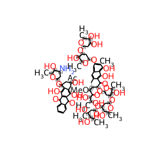 CC(=O)[C@]1(O)Cc2c(O)c3c(c(O)c2[C@@H](O[C@H]2C[C@H](N)[C@H](O)[C@H](C)O2)C1)C(=O)c1ccccc1C3=O.CO[C@H](C(=O)[C@@H](O)[C@@H](C)O)[C@@H]1Cc2cc3cc(O[C@H]4C[C@@H](O[C@H]5C[C@@H](O)[C@H](O)[C@@H](C)O5)[C@H](O)[C@@H](C)O4)c(C)c(O)c3c(O)c2C(=O)[C@H]1O[C@H]1C[C@@H](O[C@H]2C[C@@H](O[C@H]3C[C@](C)(O)[C@H](O)[C@@H](C)O3)[C@@H](O)[C@@H](C)O2)[C@H](O)[C@@H](C)O1